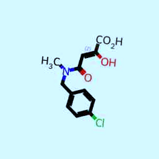 CN(Cc1ccc(Cl)cc1)C(=O)/C=C(\O)C(=O)O